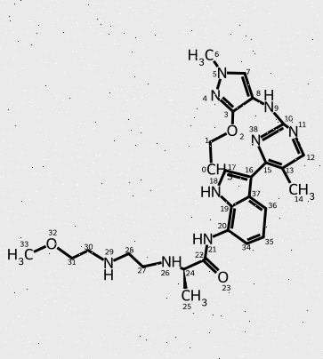 CCOc1nn(C)cc1Nc1ncc(C)c(-c2c[nH]c3c(NC(=O)[C@@H](C)NCCNCCOC)cccc23)n1